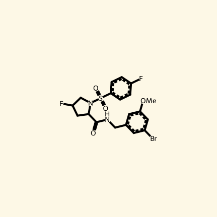 COc1cc(Br)cc(CNC(=O)C2CC(F)CN2S(=O)(=O)c2ccc(F)cc2)c1